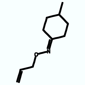 C=CCON=C1CCC(C)CC1